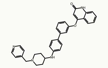 O=c1cc(Oc2cccc(-c3ccc(NC4CCN(Cc5ccncc5)CC4)cc3)c2)c2ccccc2[nH]1